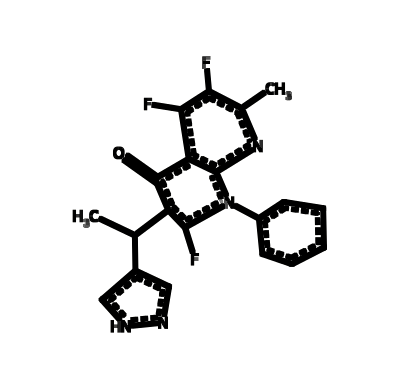 Cc1nc2c(c(F)c1F)c(=O)c(C(C)c1cn[nH]c1)c(F)n2-c1ccccc1